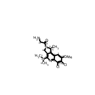 COc1cc2c3c(c(N(C)C)nc2c(Cl)c1Cl)CN(C(=O)CN)[C@H]3C